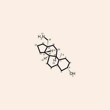 C[C@]12CC[C@H](O)CC1CC[C@H]1[C@@H]3CCC[C@@]3(CN)CC[C@@H]12